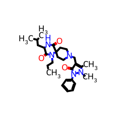 CCCN1C(=O)C(CC(C)C)NC(=O)C12CCN(Cc1c(C)n(C)n(-c3ccccc3)c1=O)CC2